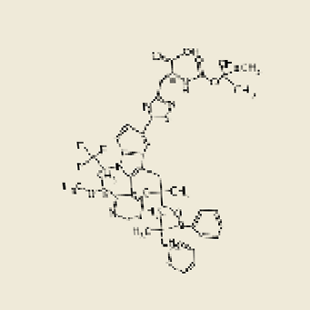 CO[C@@H](C)c1ncccc1-c1c(CC(C)(C)CO[Si](c2ccccc2)(c2ccccc2)C(C)(C)C)c2cc(-c3nc(C[C@H](NC(=O)OC(C)(C)C)C(=O)O)ns3)ccc2n1CC(F)(F)F